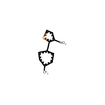 O=[N+]([O-])c1ccsc1-c1ccc(C(F)(F)F)cc1